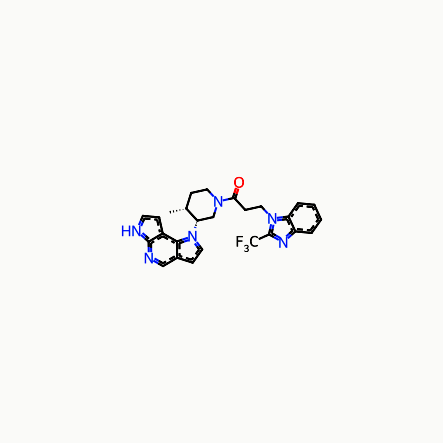 C[C@@H]1CCN(C(=O)CCn2c(C(F)(F)F)nc3ccccc32)C[C@@H]1n1ccc2cnc3[nH]ccc3c21